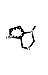 CN1COCc2[nH]ccc21